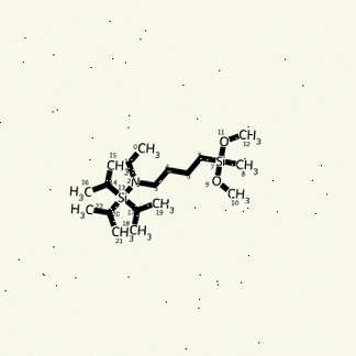 CCN(CCCC[Si](C)(OC)OC)[Si](C(C)C)(C(C)C)C(C)C